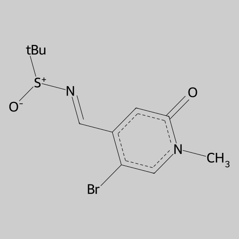 Cn1cc(Br)c(/C=N/[S+]([O-])C(C)(C)C)cc1=O